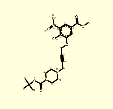 COC(=O)c1cc(OCC#CCN2CCN(C(=O)OC(C)(C)C)CC2)c(Cl)c([N+](=O)[O-])c1